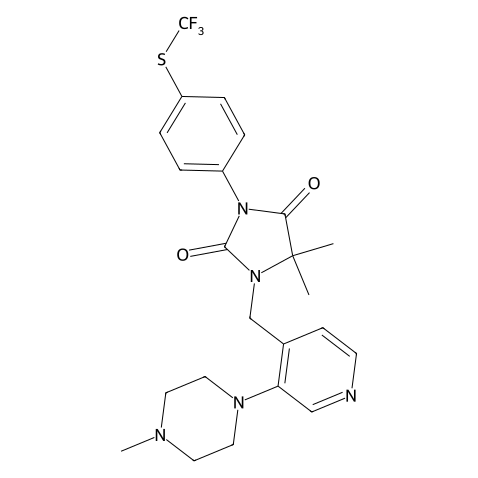 CN1CCN(c2cnccc2CN2C(=O)N(c3ccc(SC(F)(F)F)cc3)C(=O)C2(C)C)CC1